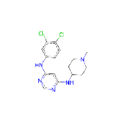 CN1CCC(Nc2cc(Nc3ccc(Cl)c(Cl)c3)ncn2)CC1